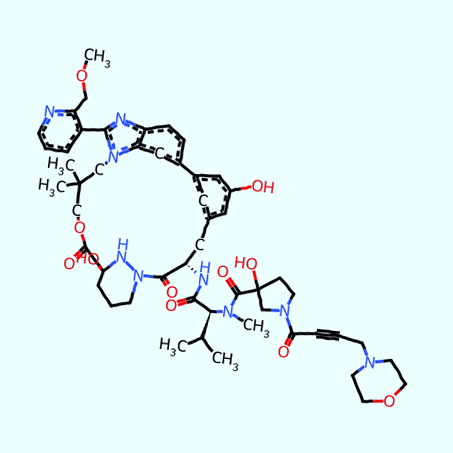 COCc1ncccc1-c1nc2ccc3cc2n1CC(C)(C)COC(=O)[C@@]1(O)CCCN(N1)C(=O)[C@@H](NC(=O)[C@H](C(C)C)N(C)C(=O)C1(O)CCN(C(=O)C#CCN2CCOCC2)C1)Cc1cc(O)cc-3c1